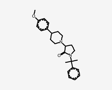 COc1ccc(C2CCN(C3CCN(C(C)(C)c4ccccc4)C3=O)CC2)cc1